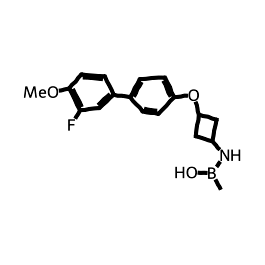 COc1ccc(-c2ccc(OC3CC(NB(C)O)C3)cc2)cc1F